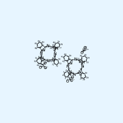 O=S(=O)([O-])c1cccc2c3nc4nc(nc5[nH]c(nc6nc(nc([nH]3)c12)-c1ccccc1-6)c1ccccc51)-c1ccccc1-4.O=S(=O)([O-])c1cccc2c3nc4nc(nc5[nH]c(nc6nc(nc([nH]3)c12)-c1ccccc1-6)c1ccccc51)-c1ccccc1-4.[O]=[U+2]=[O]